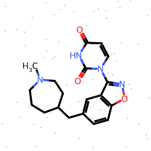 CN1CCCC(Cc2ccc3onc(-n4ccc(=O)[nH]c4=O)c3c2)CC1